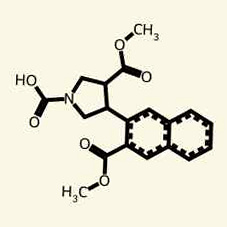 COC(=O)c1cc2ccccc2cc1C1CN(C(=O)O)CC1C(=O)OC